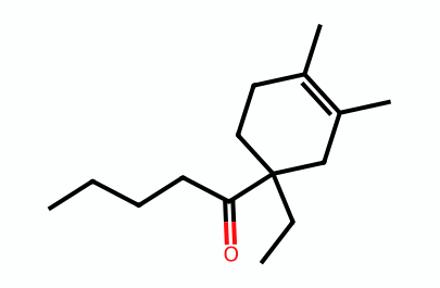 CCCCC(=O)C1(CC)CCC(C)=C(C)C1